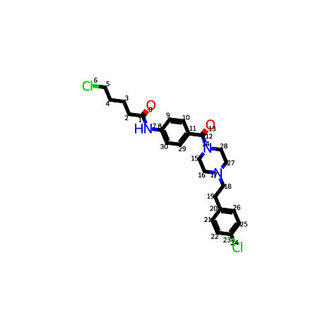 O=C(CCCCCl)Nc1ccc(C(=O)N2CCN(CCc3ccc(Cl)cc3)CC2)cc1